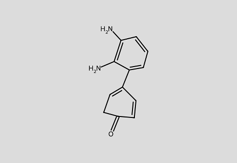 Nc1cccc(C2=CCC(=O)C=C2)c1N